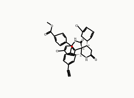 C#Cc1ccc(Oc2ccc(C(=O)OC)cc2)c([C@H]2NC(=O)C[C@@H](C3C=CC=C(Cl)C3)[C@]23C(=O)Nc2cc(Cl)ccc23)c1